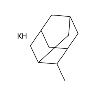 CC1C2CC3CC(C2)CC1C3.[KH]